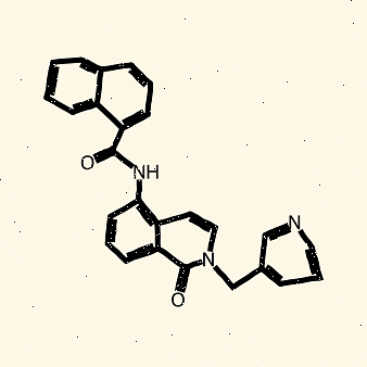 O=C(Nc1cccc2c(=O)n(Cc3cccnc3)ccc12)c1cccc2ccccc12